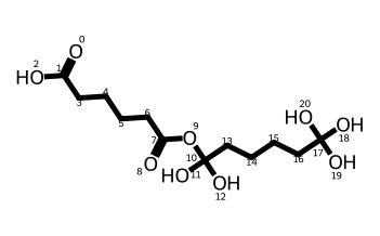 O=C(O)CCCCC(=O)OC(O)(O)CCCCC(O)(O)O